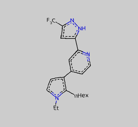 CCCCCCc1c(-c2ccnc(-c3cc(C(F)(F)F)n[nH]3)c2)ccn1CC